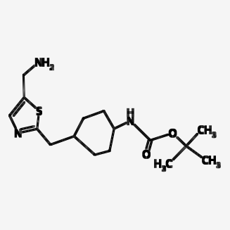 CC(C)(C)OC(=O)NC1CCC(Cc2ncc(CN)s2)CC1